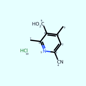 Cc1cc(C#N)nc(C)c1C(=O)O.Cl